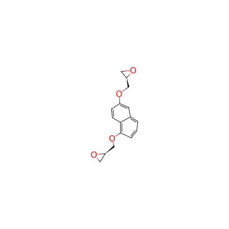 c1cc(OC[C@H]2CO2)c2ccc(OC[C@H]3CO3)cc2c1